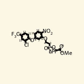 CCCP(=O)(CCOc1cc(Oc2ccc(C(F)(F)F)cc2Cl)ccc1[N+](=O)[O-])OCC(=O)OC